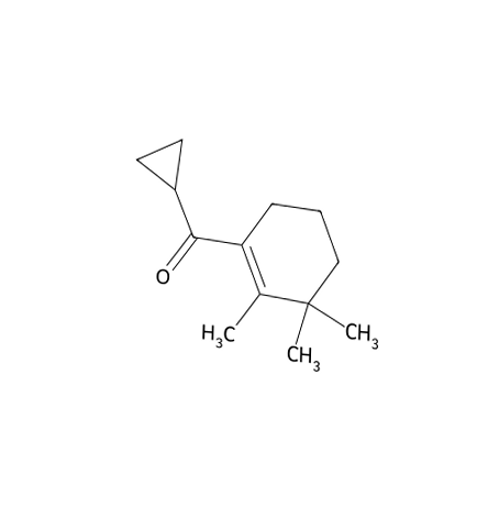 CC1=C(C(=O)C2CC2)CCCC1(C)C